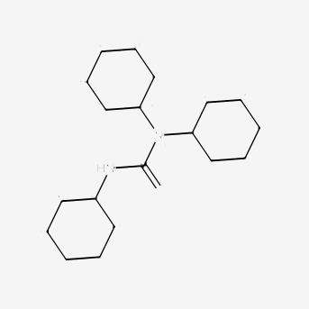 O=C(NC1CCCCC1)N(C1CCCCC1)C1CCCCC1